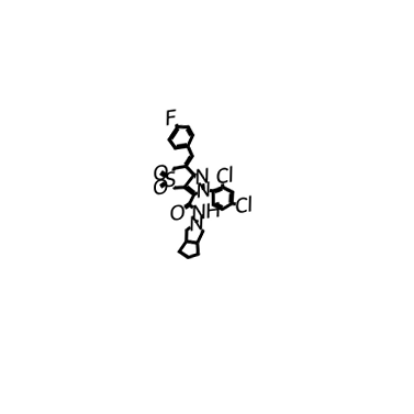 O=C(NN1CC2CCCC2C1)c1c2c(nn1-c1ccc(Cl)cc1Cl)/C(=C/c1ccc(F)cc1)CS(=O)(=O)C2